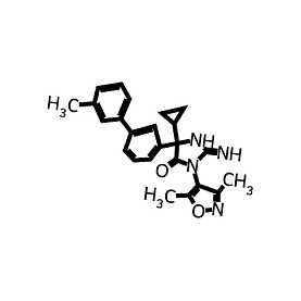 Cc1cccc(-c2cccc(C3(C4CC4)NC(=N)N(c4c(C)noc4C)C3=O)c2)c1